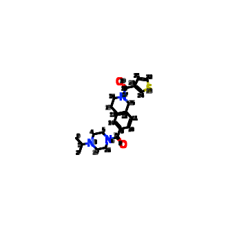 CC(C)N1CCN(C(=O)c2ccc3c(c2)CCN(C(=O)c2ccsc2)C3)CC1